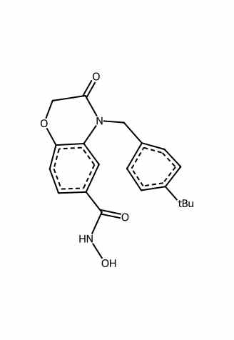 CC(C)(C)c1ccc(CN2C(=O)COc3ccc(C(=O)NO)cc32)cc1